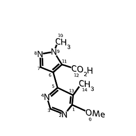 COc1ncnc(-c2cnn(C)c2C(=O)O)c1C